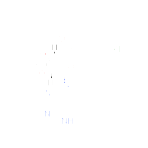 CC1(C)O[C@@H]2[C@H](O1)C([C@@H]1OCCCc3cc(Cl)ccc31)O[C@H]2n1ccc2c(N)ncnc21